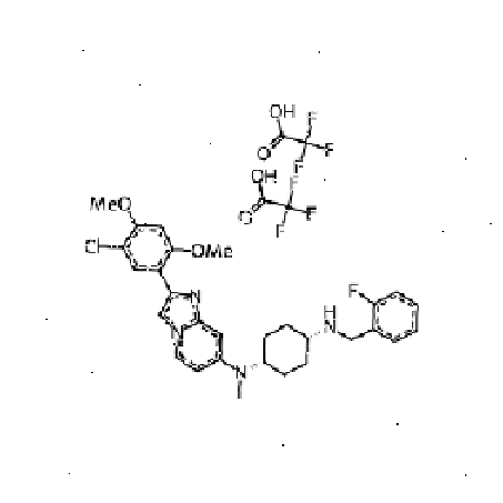 COc1cc(OC)c(-c2cn3ccc(N(C)[C@H]4CC[C@@H](NCc5ccccc5F)CC4)cc3n2)cc1Cl.O=C(O)C(F)(F)F.O=C(O)C(F)(F)F